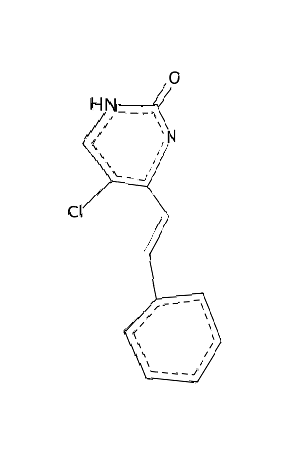 O=c1nc(C=Cc2ccccc2)c(Cl)c[nH]1